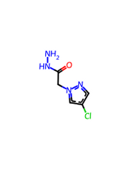 NNC(=O)Cn1cc(Cl)cn1